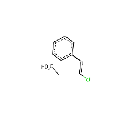 CC(=O)O.ClC=Cc1ccccc1